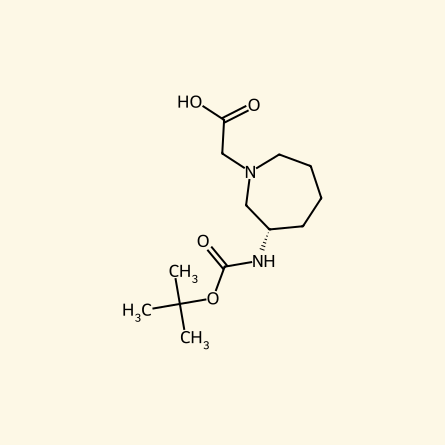 CC(C)(C)OC(=O)N[C@H]1CCCCN(CC(=O)O)C1